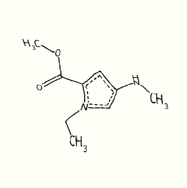 CCn1cc(NC)cc1C(=O)OC